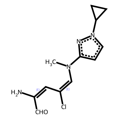 CN(/C=C(Cl)\C=C(\N)C=O)c1ccn(C2CC2)n1